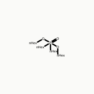 CCCCCC[O][Zr](=[O])([CH2]CCCCC)([CH2]CCCCC)[O]CCCCCC